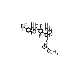 COCC1CCCN1CCCc1cc(-c2cc(F)c(NC(=O)Nc3cc(C(F)(F)F)ccc3F)cc2F)c2c(N)ncnn12